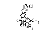 CC(C)Cn1c(=O)n(C)c(=O)c2cc(Cc3ccc(Cl)s3)sc21